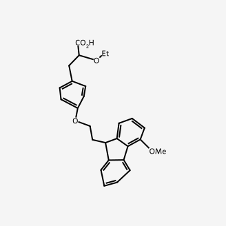 CCOC(Cc1ccc(OCCC2c3ccccc3-c3c(OC)cccc32)cc1)C(=O)O